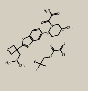 C[C@H]1CC[C@H](c2ccc3sc(C4(CN(C)C)COC4)nc3c2)N(C(=O)C(N)=O)C1.O=C(Cl)C(=O)OCC(F)(F)F